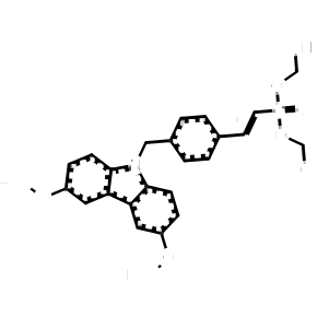 CCOP(=O)(/C=C/c1ccc(Cn2c3ccc(OC)cc3c3cc(OC)ccc32)cc1)OCC